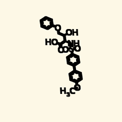 COc1ccc(-c2ccc(S(=O)(=O)N[C@@H](C(=O)O)[C@H](O)COc3ccccc3)cc2)cc1